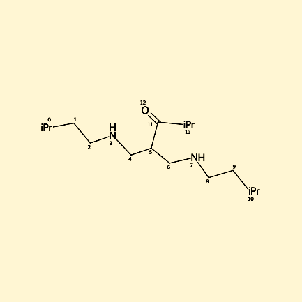 CC(C)CCNCC(CNCCC(C)C)C(=O)C(C)C